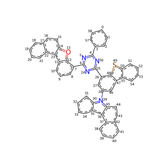 c1ccc(-c2nc(-c3cccc4c3oc3ccc5ccccc5c34)nc(-c3cc(-n4c5ccccc5c5c6ccccc6ccc54)cc4c3sc3ccccc34)n2)cc1